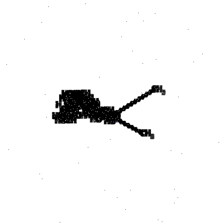 CCCCCCCCCCCCC/C=C/[C@@H](O)[C@H](CO[C@@H]1OC(CO)[C@@H](O[C@@H]2OC(CO)[C@H](O[C@@H]3OC(CO)[C@H](O)[C@H](O[C@@H]4OC(CO[C@@H]5OC(CO)[C@@H](O[C@@H]6OC(CO)[C@H](O)[C@H](O)C6O)[C@H](O)C5NC(C)=O)[C@H](O)[C@H](O[C@@H]5OC(CO)[C@H](O)[C@H](O)C5O)C4NC(C)=O)C3O)[C@H](O)C2O)[C@H](O)C1O)NC(=O)CCCCCCCCCCCCCCCCCCCCC